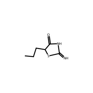 CCCC1SC(=N)NC1=O